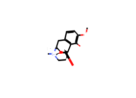 COc1ccc2c(c1O)[C@@]13CCN(C)[C@@H](C2)[C@H]1CCC(=O)C3